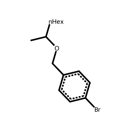 CCCCCCC(C)OCc1ccc(Br)cc1